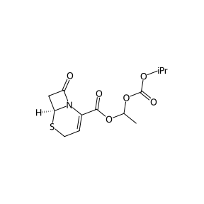 CC(C)OC(=O)OC(C)OC(=O)C1=CCS[C@H]2CC(=O)N12